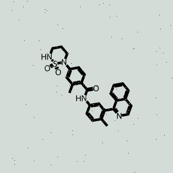 Cc1cc(N2CCCNS2(=O)=O)ccc1C(=O)Nc1ccc(C)c(-c2nccc3ccccc23)c1